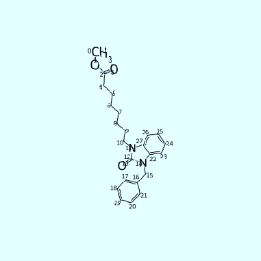 COC(=O)CCCCCCCn1c(=O)n(Cc2ccccc2)c2ccccc21